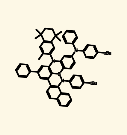 CCCCc1ccc(N(c2ccccc2)c2ccc3c(c2)N(c2cc4c(cc2C)C(C)(C)CCC4(C)C)c2cc(-c4ccccc4)cc4c2B3N(c2ccc(C(C)(C)C)cc2)c2c-4ccc3ccccc23)cc1